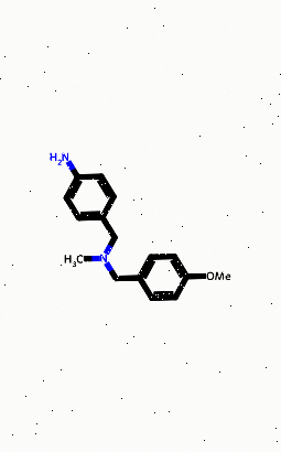 COc1ccc(CN(C)Cc2ccc(N)cc2)cc1